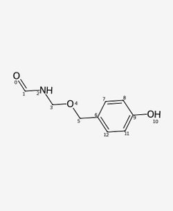 O=CNCOCc1ccc(O)cc1